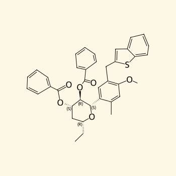 CC[C@@H]1C[C@H](OC(=O)c2ccccc2)[C@@H](OC(=O)c2ccccc2)[C@H](c2cc(Cc3cc4ccccc4s3)c(OC)cc2C)O1